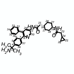 CC(C)(N)c1ccc(-c2ncc(NC(=O)C[C@H]3CC[C@H](NC(=O)CC4CC4)CC3)cc2-c2ccccc2)cc1